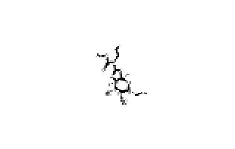 CC(C)(C)OC(=O)N(CCF)C1=N[C@@H]2[C@@H](O)[C@H](N=O)[C@@H](CO)O[C@@H]2S1